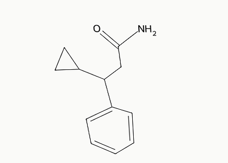 NC(=O)CC(c1ccccc1)C1CC1